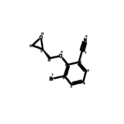 N#Cc1cccc(Br)c1OC[C@H]1CO1